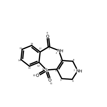 O=C1NC2=C(CCNC2)S(=O)(=O)c2ccccc21